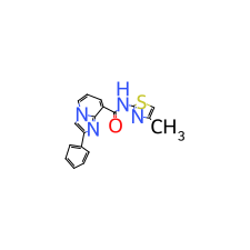 Cc1csc(NC(=O)c2cccn3cc(-c4ccccc4)nc23)n1